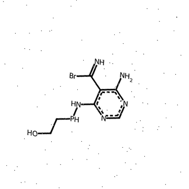 N=C(Br)c1c(N)ncnc1NPCCO